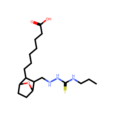 CCCNC(=S)NNCC1C2CCC(O2)C1CCCCCCC(=O)O